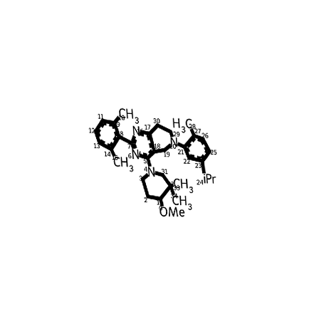 COC1CCN(c2nc(-c3c(C)cccc3C)nc3c2CN(c2cc(C(C)C)ccc2C)CC3)CC1(C)C